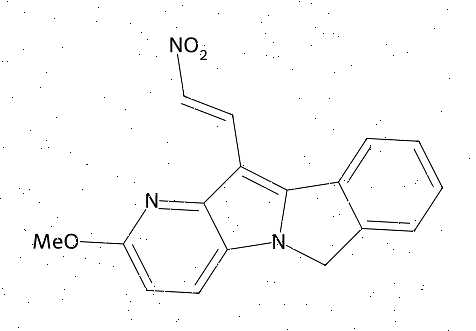 COc1ccc2c(n1)c(/C=C/[N+](=O)[O-])c1n2Cc2ccccc2-1